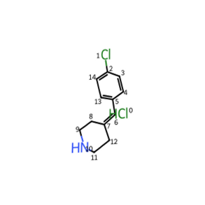 Cl.Clc1ccc(C=C2CCNCC2)cc1